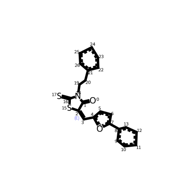 O=C1/C(=C\c2ccc(-c3ccccc3)o2)SC(=S)N1CCc1ccccc1